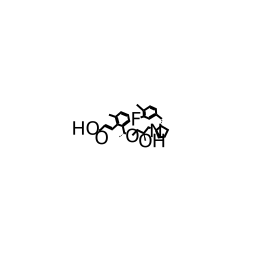 Cc1ccc(C[C@@H]2CCCN2C[C@@H](O)CO[C@H](C)c2cccc(C)c2/C=C/C(=O)O)cc1F